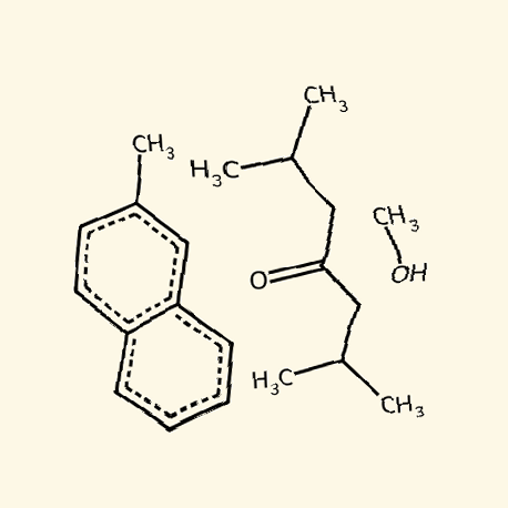 CC(C)CC(=O)CC(C)C.CO.Cc1ccc2ccccc2c1